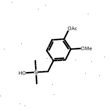 COc1cc(C[Si](C)(C)O)ccc1OC(C)=O